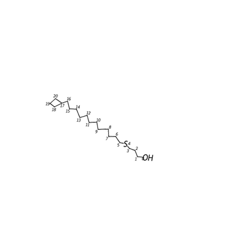 OCCCSCCCCCCCCCCCCC1CCC1